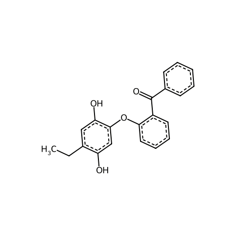 CCc1cc(O)c(Oc2ccccc2C(=O)c2ccccc2)cc1O